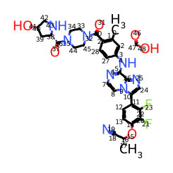 Cc1cc(Nc2nccn3c(-c4ccc(O[C@H](C)C#N)c(F)c4F)cnc23)ccc1C(=O)N1CCN(C(=O)[C@@H]2C[C@@H](O)CN2)CC1.O=CO